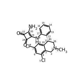 CN1Cc2c(Cl)cc(Cl)cc2[C@H](c2ccccc2Nc2c(N)c(=O)c2=O)C1